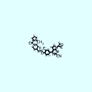 CN1CCC[C@@H]1C(=O)N1CCC(CCOc2ccc(-c3nc(C#N)nc4c3ccn4C3COC3)cc2C(F)(F)F)CC1